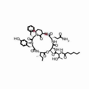 CCCCCC(=O)N[C@H](C(=O)N[C@@H]1C(=O)N[C@@H](CCC(N)=O)C(=O)N[C@H]2CC[C@@H](O)N(C2=O)[C@@H](Cc2ccccc2)C(=O)N(C)[C@@H](Cc2ccc(O)cc2)C(=O)N[C@@H]([C@@H](C)CC)C(=O)O[C@@H]1C)[C@@H](C)O